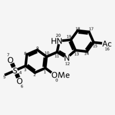 COc1cc(S(C)(=O)=O)ccc1-c1nc2cc(C(C)=O)ccc2[nH]1